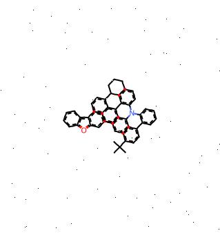 CC(C)(C)c1ccc(-c2ccccc2N(c2cccc(-c3ccc4c(c3)oc3ccccc34)c2)c2ccccc2-c2cccc3cccc(C4CCCCC4)c23)cc1